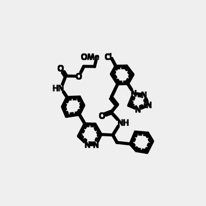 COCCOC(=O)Nc1ccc(-c2cnnc(C(Cc3ccccc3)NC(=O)C=Cc3cc(Cl)ccc3-n3cnnn3)c2)cc1